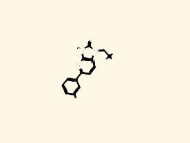 [CH2]c1cccc(-c2ccc3c(n2)n(C)c(=O)n3CC(C)(C)C)c1